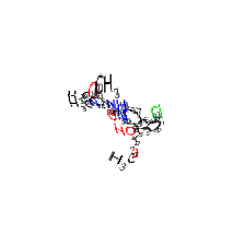 COCCCC[C@@](O)(c1cccc(Cl)c1)[C@@H]1CCCN(C(=O)N[C@@H]2CN(C)C(C)(OC)C2)C1